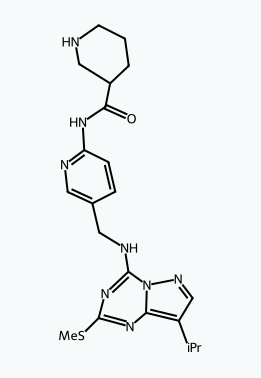 CSc1nc(NCc2ccc(NC(=O)C3CCCNC3)nc2)n2ncc(C(C)C)c2n1